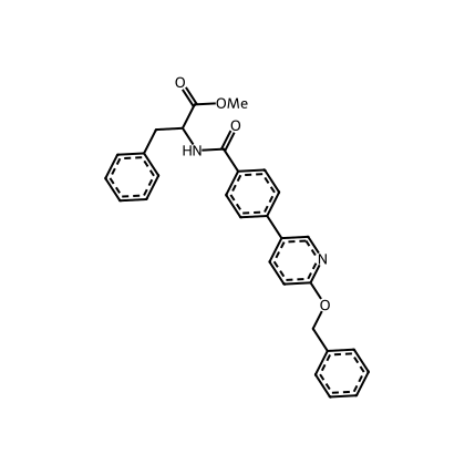 COC(=O)C(Cc1ccccc1)NC(=O)c1ccc(-c2ccc(OCc3ccccc3)nc2)cc1